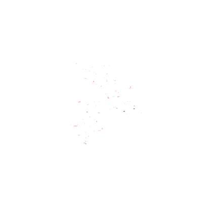 CO[C@H]1OC(CO)[C@H](O[C@@H]2OC(CO[C@H]3OC(CO)[C@H](O[C@@H]4OC(CO)[C@@H](OC)C(O)C4O)C(O)C3O)[C@H](O[C@@H]3OC(CO)[C@@H](OC)C(O)C3O)C(O)C2O)C(O)C1O